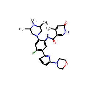 CC1CN(c2cc(F)c(-c3cccc(N4CCOCC4)n3)cc2NC(=O)c2c[nH]c(=O)cc2C(F)(F)F)CC(C)N1C